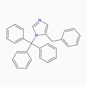 c1ccc(Cc2cncn2C(c2ccccc2)(c2ccccc2)c2ccccc2)cc1